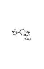 O=C(O)c1cnc2ccc(-n3ccnc3)cn12